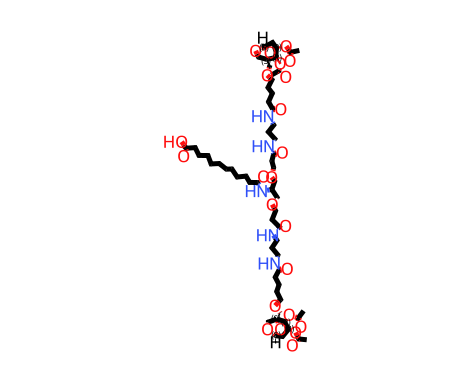 CC(=O)O[C@@H]1[C@H](OC(C)=O)C[C@H]2OC[C@]1(COCCCCC(=O)NCCCNC(=O)CCOCC(COCCC(=O)NCCCNC(=O)CCCCOC[C@]13CO[C@H](C[C@@H](OC(C)=O)[C@H]1OC(C)=O)O3)NC(=O)CCCCCCCCCCC(=O)O)O2